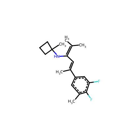 CC(C)=C(/C=C(\C)c1cc(C)c(F)c(F)c1)NC1(C)CCC1